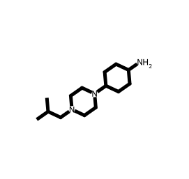 CC(C)CN1CCN(C2CCC(N)CC2)CC1